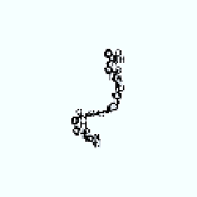 O=C(NCCOCCOCCN1CCN(CC2CCN(CC(=O)N3CCN(C(=O)c4cc(Cc5n[nH]c(=O)c6ccccc56)ccc4F)CC3)CC2)CC1)c1cccc([C@@H]2CCCN(C(=O)CN3Cc4cncnc4C3)C2)c1